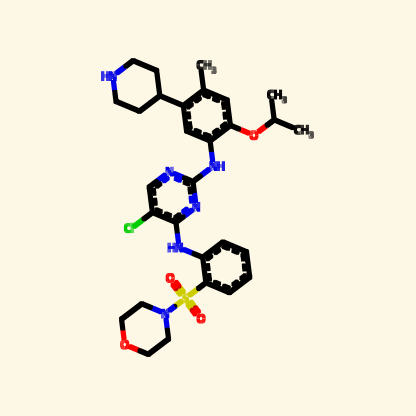 Cc1cc(OC(C)C)c(Nc2ncc(Cl)c(Nc3ccccc3S(=O)(=O)N3CCOCC3)n2)cc1C1CCNCC1